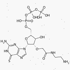 NCCNC(=O)CO[C@H]1C(O)[C@@H](COP(=O)(O)OP(=O)(O)OP(=O)(O)O)O[C@H]1n1cnc2c(=S)[nH]c(N)nc21